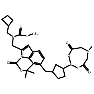 CN1CC(=O)OB(C2CCC(Cc3ccc4cc(CN(CC5CCC5)C(=O)OC(C)(C)C)n5c4c3C(C)(C)OC5=O)C2)OC(=O)C1